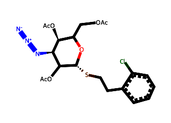 CC(=O)OCC1O[C@H](SCCc2ccccc2Cl)C(OC(C)=O)[C@@H](N=[N+]=[N-])[C@H]1OC(C)=O